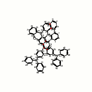 c1ccc(-c2cccc(-c3ccccc3)c2N2c3ccccc3B3c4ccccc4Oc4cc(-n5c6ccc(N(c7ccccc7)c7ccccc7)cc6c6cc(N(c7ccccc7)c7ccccc7)ccc65)cc2c43)cc1